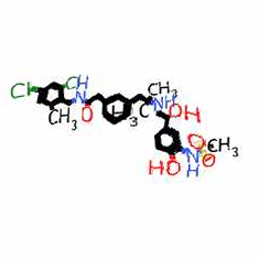 Cc1cc(Cl)cc(Cl)c1CNC(=O)Cc1cccc(CC(C)(C)NC[C@H](O)c2ccc(O)c(NS(C)(=O)=O)c2)c1